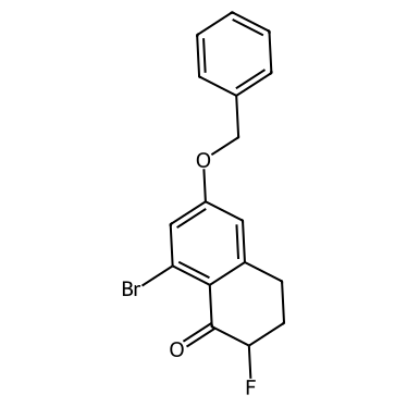 O=C1c2c(Br)cc(OCc3ccccc3)cc2CCC1F